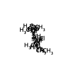 C/C=C\C=C/C(C)NC(=O)C(C)/C=C(\C=C/CCl)NC(=S)NCc1cc(OC)c(OC)c(OC)c1